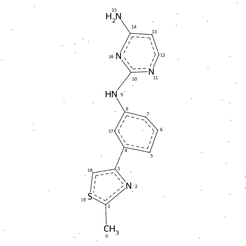 Cc1nc(-c2cccc(Nc3nccc(N)n3)c2)cs1